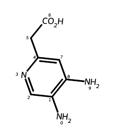 Nc1cnc(CC(=O)O)cc1N